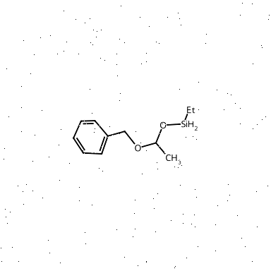 CC[SiH2]OC(C)OCc1ccccc1